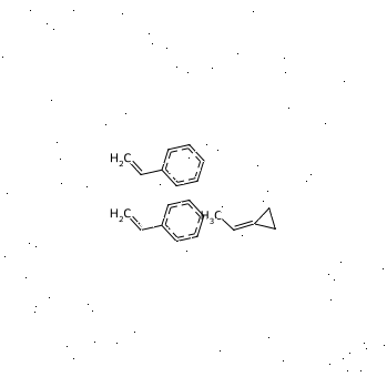 C=Cc1ccccc1.C=Cc1ccccc1.CC=C1CC1